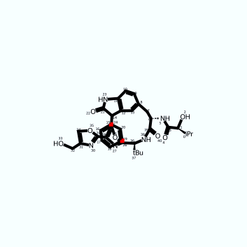 CC(C)[C@H](O)C(=O)N[C@H]1Cc2ccc3c(c2)[C@](c2ccccc2)(C(=O)N3)c2oc(nc2-c2nc(CO)co2)[C@H](C(C)(C)C)NC1=O